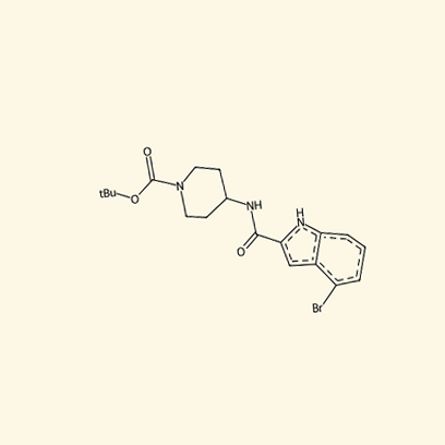 CC(C)(C)OC(=O)N1CCC(NC(=O)c2cc3c(Br)cccc3[nH]2)CC1